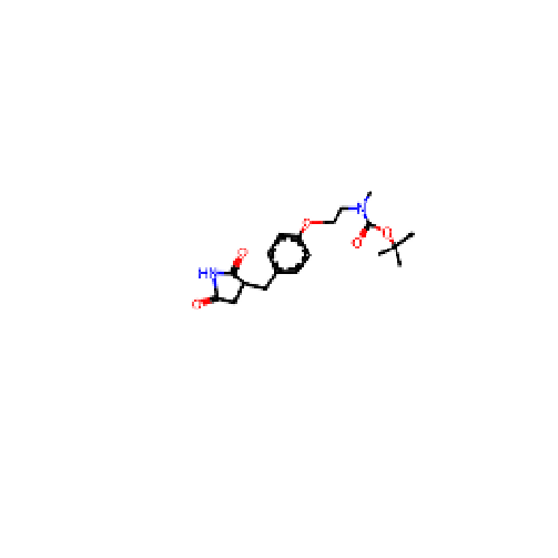 CN(CCOc1ccc(CC2CC(=O)NC2=O)cc1)C(=O)OC(C)(C)C